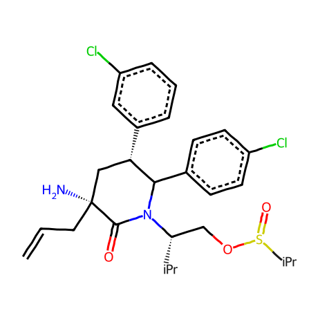 C=CC[C@@]1(N)C[C@H](c2cccc(Cl)c2)C(c2ccc(Cl)cc2)N([C@H](COS(=O)C(C)C)C(C)C)C1=O